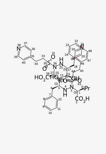 CC(C)[C@@H](C(=O)O)N(N[C@@H](Cc1ccccc1)[C@H](O)[C@H](O)[C@H](Cc1ccccc1)NN([C@H](C(=O)O)C(C)C)S(=O)(=O)CCc1ccncc1)S(=O)(=O)CCc1ccncc1